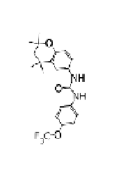 CC1(C)CC(C)(C)c2cc(NC(=O)Nc3ccc(OC(F)(F)F)cc3)ccc2O1